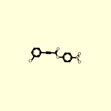 O=C(C#Cc1cccc(Cl)c1)Oc1ccc([N+](=O)[O-])cc1